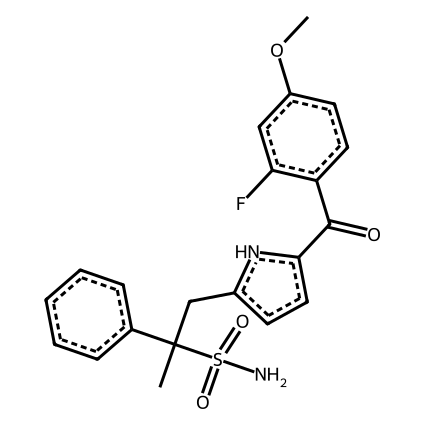 COc1ccc(C(=O)c2ccc(CC(C)(c3ccccc3)S(N)(=O)=O)[nH]2)c(F)c1